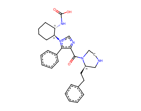 O=C(O)N[C@H]1CCCC[C@@H]1n1cnc(C(=O)N2CCNC[C@H]2CCc2ccccc2)c1-c1ccccc1